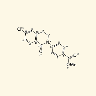 COC(=O)c1ccc(N2CCc3cc(Cl)ccc3C2=O)cc1